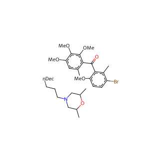 CCCCCCCCCCCCCN1CC(C)OC(C)C1.COc1cc(C)c(C(=O)c2c(OC)ccc(Br)c2C)c(OC)c1OC